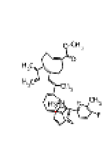 C=CC(=C)/C1=C(\C=C(/C)C2=CCC=C3\C=C/C(c4c[nH]nc4-c4ccc(F)c(C)n4)=C/C=C/C3=C2)CC/C(C(=O)OC)=C/CC1